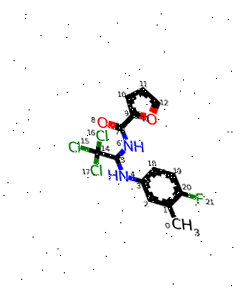 Cc1cc(NC(NC(=O)c2ccco2)C(Cl)(Cl)Cl)ccc1F